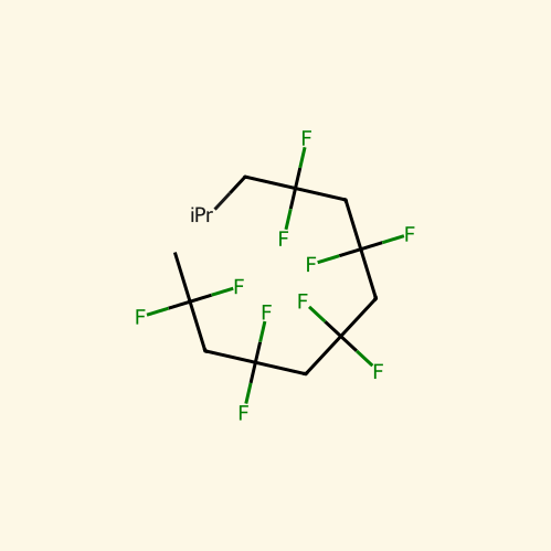 CC(C)CC(F)(F)CC(F)(F)CC(F)(F)CC(F)(F)CC(C)(F)F